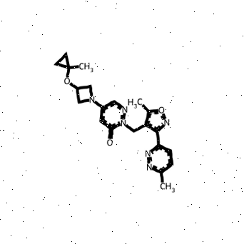 Cc1ccc(-c2noc(C)c2Cn2ncc(N3CC(OC4(C)CC4)C3)cc2=O)nn1